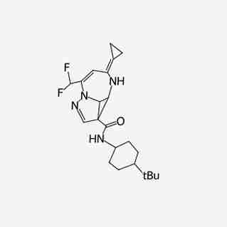 CC(C)(C)C1CCC(NC(=O)C23C=NN4C(C(F)F)=CC(=C5CC5)NC2C43)CC1